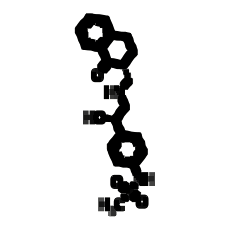 CS(=O)(=O)Nc1ccc([C@@H](O)CNC[C@H]2CCc3ccccc3C2=O)cc1